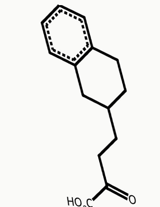 O=C(O)C(=O)CCC1CCc2ccccc2C1